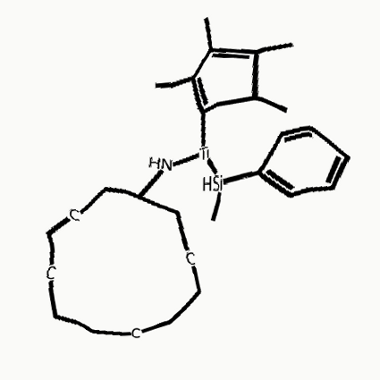 CC1=C(C)C(C)[C]([Ti]([NH]C2CCCCCCCCCCC2)[SiH](C)c2ccccc2)=C1C